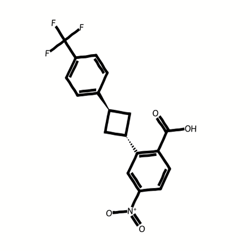 O=C(O)c1ccc([N+](=O)[O-])cc1[C@H]1C[C@H](c2ccc(C(F)(F)F)cc2)C1